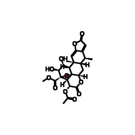 COC(=O)[C@@]12OC[C@]34[C@H]([C@@H](O)[C@@H]1O)[C@@]1(C)C=C5OC(=O)C=C5[C@@H](C)[C@@H]1C[C@H]3OC(=O)[C@H](OC(C)=O)[C@@H]24